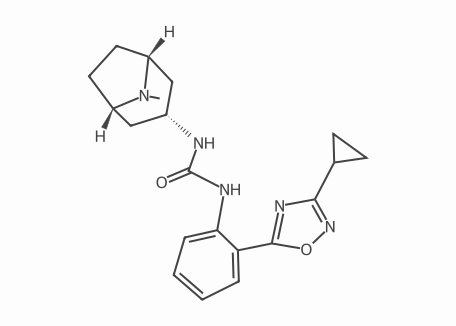 CN1[C@@H]2CC[C@H]1C[C@@H](NC(=O)Nc1ccccc1-c1nc(C3CC3)no1)C2